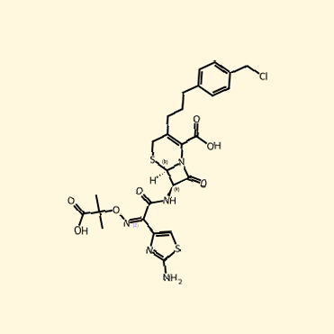 CC(C)(O/N=C(\C(=O)N[C@@H]1C(=O)N2C(C(=O)O)=C(CCCc3ccc(CCl)cc3)CS[C@H]12)c1csc(N)n1)C(=O)O